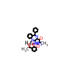 COc1c(ONC(C)C(=O)C2N=C(c3ccccc3)c3ccccc3N(C)[C@@H]2N)cccc1C(C)=O